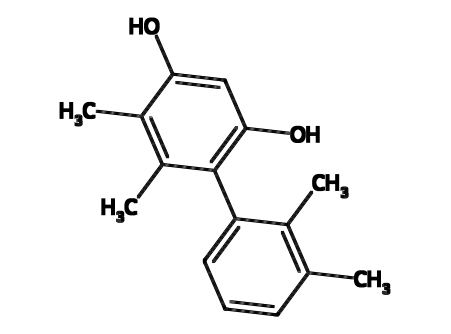 Cc1cccc(-c2c(O)cc(O)c(C)c2C)c1C